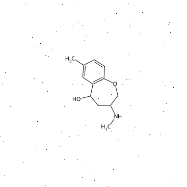 CNC1COc2ccc(C)cc2C(O)C1